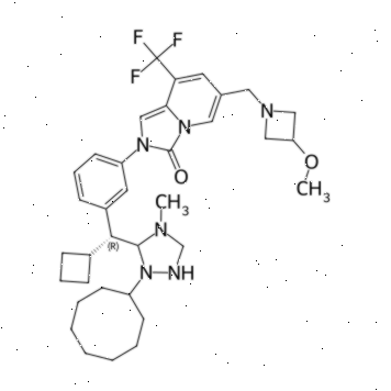 COC1CN(Cc2cc(C(F)(F)F)c3cn(-c4cccc([C@@H](C5CCC5)C5N(C)CNN5C5CCCCCCC5)c4)c(=O)n3c2)C1